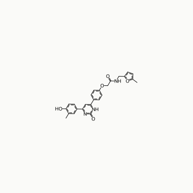 Cc1ccc(CNC(=O)COc2ccc(-c3cc(-c4ccc(O)c(C)c4)nc(=O)[nH]3)cc2)o1